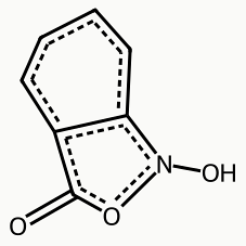 O=c1on(O)c2ccccc12